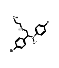 [O-][S+](c1ccc(F)cc1)C(CNCCO)c1ccc(Br)cc1